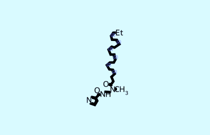 CC/C=C\C/C=C\C/C=C\C/C=C\C/C=C\C/C=C\CCC(=O)N(C)CCNC(=O)c1cccnc1